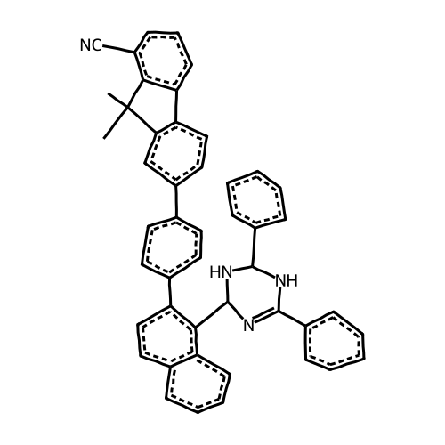 CC1(C)c2cc(-c3ccc(-c4ccc5ccccc5c4C4N=C(c5ccccc5)NC(c5ccccc5)N4)cc3)ccc2-c2cccc(C#N)c21